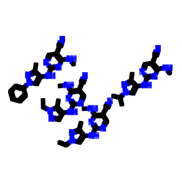 CCn1cc(Nc2ncc(C#N)c(NC)n2)c(C)n1.CCn1ncc(Nc2ncc(C#N)c(NC)n2)c1C.CNc1nc(Nc2cn(-c3ccccc3)nc2C)ncc1C#N.CNc1nc(Nc2cn(C(C)C)nc2C)ncc1C#N